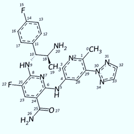 Cc1ncc(Nc2nc(N[C@H](c3ccc(F)cc3)[C@H](C)N)c(F)cc2C(N)=O)cc1-n1nccn1